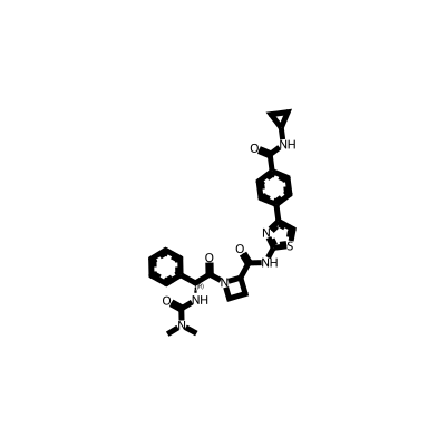 CN(C)C(=O)N[C@@H](C(=O)N1CCC1C(=O)Nc1nc(-c2ccc(C(=O)NC3CC3)cc2)cs1)c1ccccc1